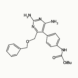 CC(C)COC(=O)Nc1ccc(-c2c(N)nc(N)nc2COCc2ccccc2)cc1